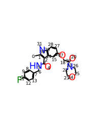 Cc1c(C(=O)NCc2ccc(F)cc2)c2cc(OCC(=O)N3CCOCC3)ccc2n1C